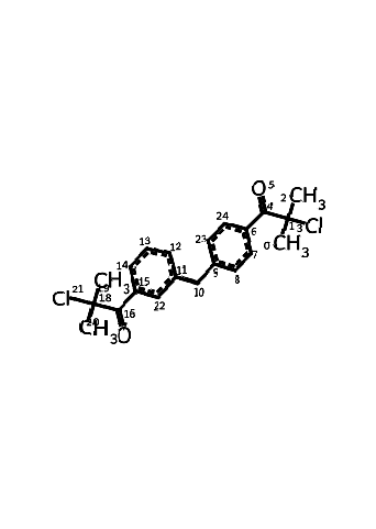 CC(C)(Cl)C(=O)c1ccc(Cc2cccc(C(=O)C(C)(C)Cl)c2)cc1